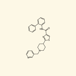 O=C(Nc1ccccc1-c1ccccc1)c1csc(C2CCN(Cc3cccnc3)CC2)n1